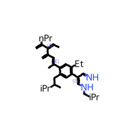 C=C(/C=C(\C)c1cc(CC)c(/C(C=N)=C/NCC(C)C)cc1CC(C)C(C)C)/C(=C\C)C(=C)CCC